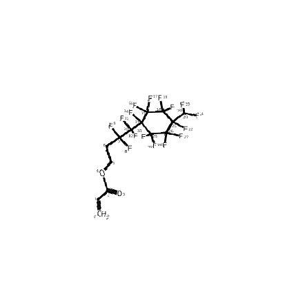 C=CC(=O)OCCC(F)(F)C(F)(F)C1(F)C(F)(F)C(F)(F)C(F)(C(F)F)C(F)(F)C1(F)F